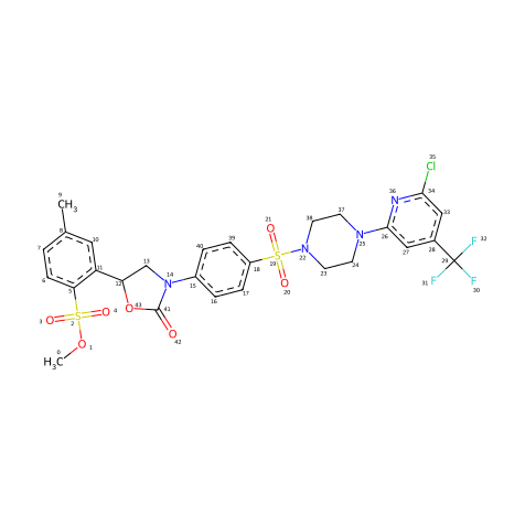 COS(=O)(=O)c1ccc(C)cc1C1CN(c2ccc(S(=O)(=O)N3CCN(c4cc(C(F)(F)F)cc(Cl)n4)CC3)cc2)C(=O)O1